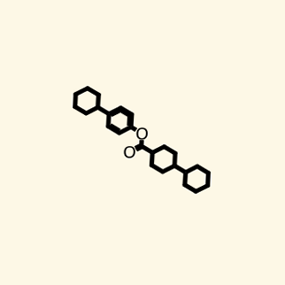 O=C(OC1=C=C=C(C2CCCCC2)C=C1)C1CCC(C2CCCCC2)CC1